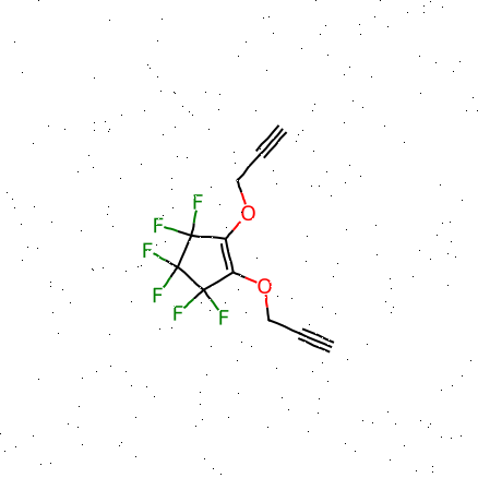 C#CCOC1=C(OCC#C)C(F)(F)C(F)(F)C1(F)F